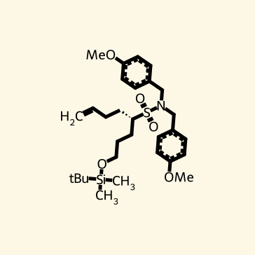 C=CCC[C@@H](CCCO[Si](C)(C)C(C)(C)C)S(=O)(=O)N(Cc1ccc(OC)cc1)Cc1ccc(OC)cc1